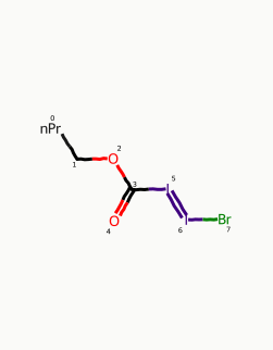 CCCCOC(=O)/I=I/Br